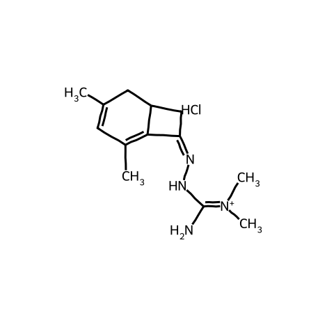 CC1=CC(C)=C2C(=NNC(N)=[N+](C)C)CC2C1.Cl